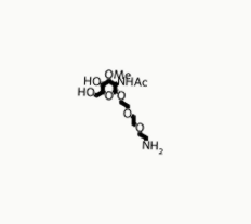 COC1C(NC(C)=O)[C@H](OCCOCCOCCN)OC(CO)[C@@H]1O